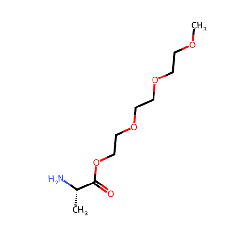 COCCOCCOCCOC(=O)[C@H](C)N